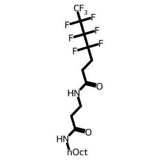 CCCCCCCCNC(=O)CCNC(=O)CCC(F)(F)C(F)(F)C(F)(F)C(F)(F)F